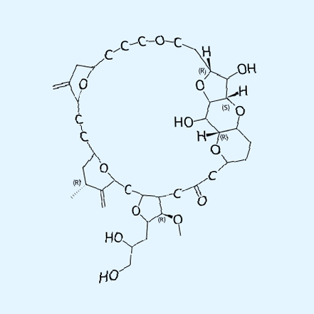 C=C1CC2CCCOCC[C@H]3OC4C(O)[C@H]5OC(CCC5O[C@H]4C3O)CC(=O)CC3C(CC4OC(CCC1O2)C[C@@H](C)C4=C)OC(CC(O)CO)[C@@H]3OC